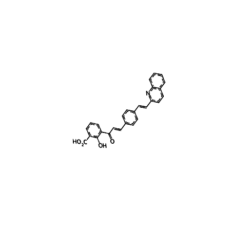 O=C(O)c1cccc(C(=O)C=Cc2ccc(C=Cc3ccc4ccccc4n3)cc2)c1O